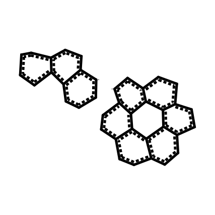 [c]1cc2ccc3ccc4ccc5ccc6ccc1c1c2c3c4c5c61.[c]1cccc2c1ccc1ccccc12